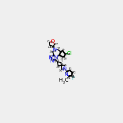 Cc1nc(N2CC3(CC(c4nnc5n4-c4ccc(Cl)cc4CN([C@@H]4CCOC4)C5)C3)C2)ccc1F